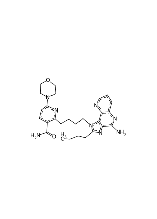 CCCCc1nc2c(N)nc3cccnc3c2n1CCCCc1nc(N2CCOCC2)ccc1C(N)=O